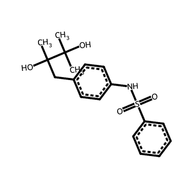 CC(C)(O)C(C)(O)Cc1ccc(NS(=O)(=O)c2ccccc2)cc1